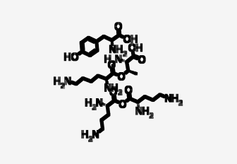 C[C@@H](OC(=O)[C@@H](N)CCCCN)[C@H](N)C(=O)O.NCCC[C@H](N)C(=O)OC(=O)[C@@H](N)CCCN.N[C@@H](Cc1ccc(O)cc1)C(=O)O